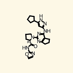 O=C(Nc1ncco1)[C@H]1CCCN1c1nc2c(c(Nc3cc(C4CCCC4)[nH]n3)n1)CCC2